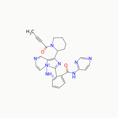 CC#CC(=O)N1CCCCC1C1=C2C=NC=C[N+]2(N)C(c2ccccc2C(=O)Nc2ccncn2)=N1